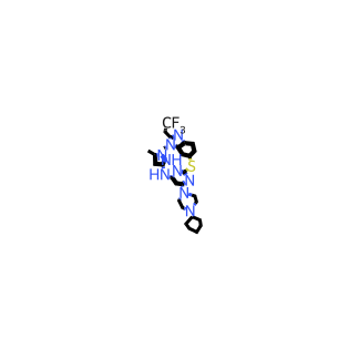 Cc1cc(Nc2cc(N3CCN(C4CCCCC4)CC3)nc(Sc3ccc4nc(CC(F)(F)F)n(C)c4c3)n2)[nH]n1